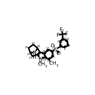 Cc1cc(S(=O)(=O)c2cccc(C(F)(F)F)c2)cc2c3c(n(C)c12)CC1CCC3N1